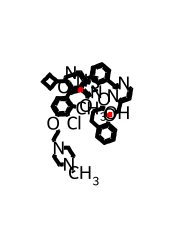 Cc1c(-c2c(C3CCC3)ncc3snc(OC(Cc4ccccc4OCc4ccnc(-c5cccc(N6CCOCC6)c5)n4)C(=O)O)c23)ccc(OCCN2CCN(C)CC2)c1Cl